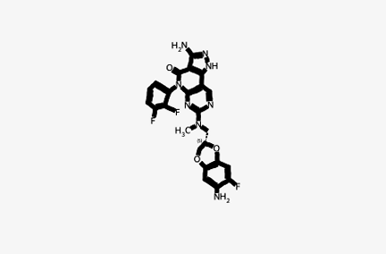 CN(C[C@H]1COc2cc(N)c(F)cc2O1)c1ncc2c3[nH]nc(N)c3c(=O)n(-c3cccc(F)c3F)c2n1